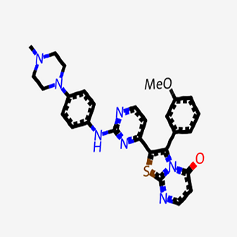 COc1cccc(-c2c(-c3ccnc(Nc4ccc(N5CCN(C)CC5)cc4)n3)sc3nccc(=O)n23)c1